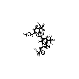 Cc1c(-c2cn3c(CO)ccc(C(C)(C)C)c3n2)cc(C(C)(C)C)c2ncc(CC(=O)N(C)C)n12